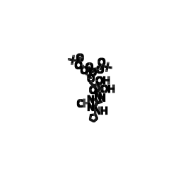 CC(C)(C)C(=O)OCOP(=O)(COCC1O[C@@H](n2ncc3c(NC4CCCC4)nc(Cl)nc32)[C@H](O)[C@@H]1O)OCOC(=O)C(C)(C)C